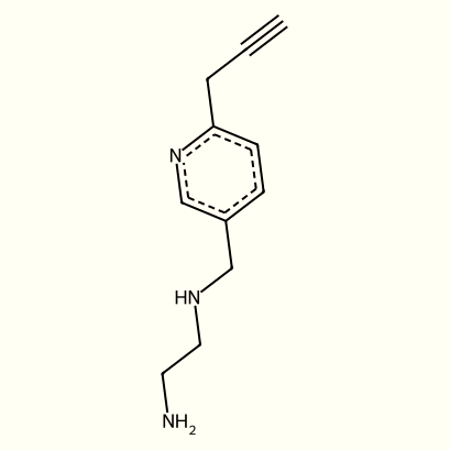 C#CCc1ccc(CNCCN)cn1